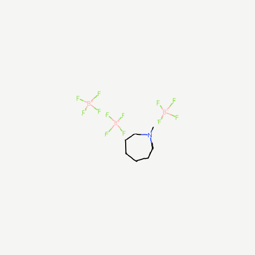 CN1CCCCCC1.F[B-](F)(F)F.F[B-](F)(F)F.F[B-](F)(F)F